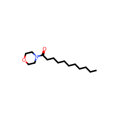 CCCCCCCCCCC(=O)N1CCOCC1